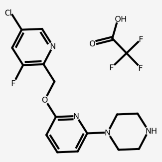 Fc1cc(Cl)cnc1COc1cccc(N2CCNCC2)n1.O=C(O)C(F)(F)F